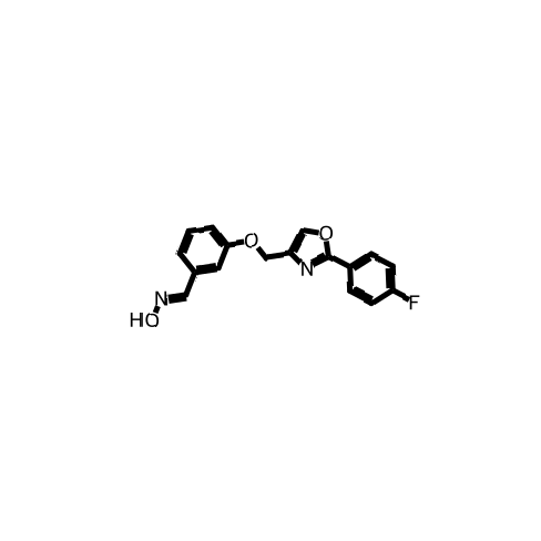 ON=Cc1cccc(OCc2coc(-c3ccc(F)cc3)n2)c1